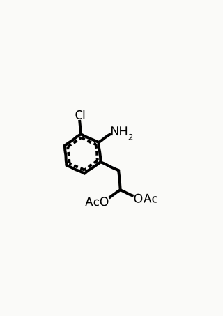 CC(=O)OC(Cc1cccc(Cl)c1N)OC(C)=O